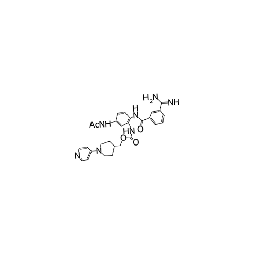 CC(=O)Nc1ccc(NC(=O)c2cccc(C(=N)N)c2)c(NC(=O)OCC2CCN(c3ccncc3)CC2)c1